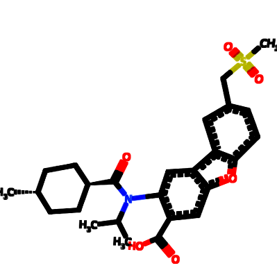 CC(C)N(c1cc2c(cc1C(=O)O)oc1ccc(CS(C)(=O)=O)cc12)C(=O)[C@H]1CC[C@H](C)CC1